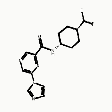 O=C(N[C@H]1CC[C@H](C(F)F)CC1)c1cncc(-n2ccnc2)n1